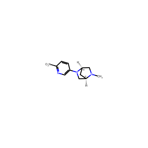 CN1C[C@H]2C[C@@H]1CN2c1ccc([N+](=O)[O-])nc1